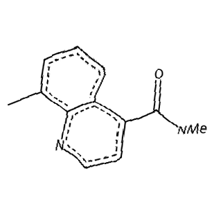 CNC(=O)c1ccnc2c(C)cccc12